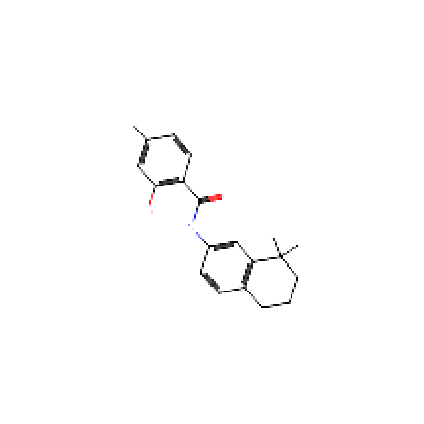 CC1(C)CCCc2ccc(NC(=O)c3ccc(C(=O)O)cc3O)cc21